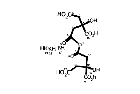 O=C(O)CC(O)(CC(=O)OC(=O)CC(O)(CC(=O)O)C(=O)O)C(=O)O.[KH].[KH].[KH]